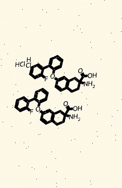 Cl.Cl.NC1(C(=O)O)CCc2ccc(Oc3ccccc3-c3ccccc3F)cc2C1.NC1(C(=O)O)CCc2ccc(Oc3ccccc3-c3ccccc3F)cc2C1